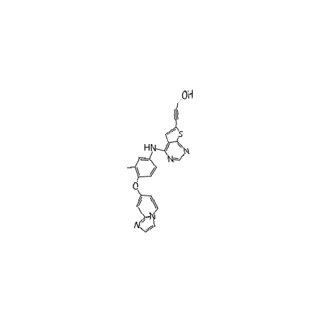 Cc1cc(Nc2ncnc3sc(C#CCO)cc23)ccc1Oc1ccn2ccnc2c1